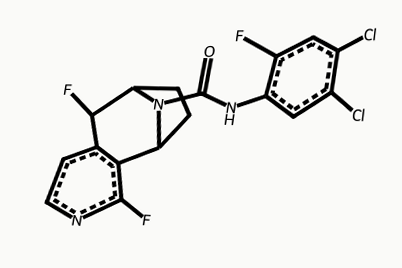 O=C(Nc1cc(Cl)c(Cl)cc1F)N1C2CCC1C(F)c1ccnc(F)c12